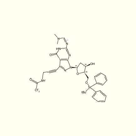 CN(C)/C=N\c1nc2c(c(C#CCNC(=O)C(F)(F)F)nn2[C@H]2C[C@@H](O)[C@@H](CO[Si](c3ccccc3)(c3ccccc3)C(C)(C)C)O2)c(=O)[nH]1